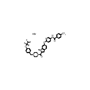 Br.Cn1c(C(=O)N2CCN(Cc3ccc(OC(F)(F)C(F)F)cc3)CC2)cc2ccc(Oc3ccc(NC(=O)c4ccc(C(F)(F)F)cc4)cn3)cc21